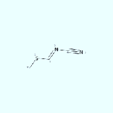 CSC=NC#N